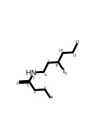 C=C(CCC)NCCC(I)CCC